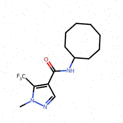 Cn1ncc(C(=O)NC2CCCCCCC2)c1C(F)(F)F